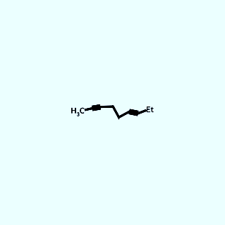 CC#CC[CH]C#CCC